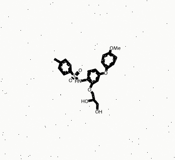 COc1ccc(Oc2ccc(NS(=O)(=O)c3ccc(C)cc3)c(OCC(O)CO)c2)cc1